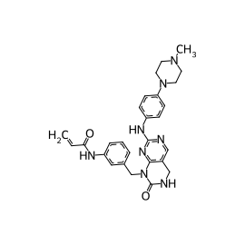 C=CC(=O)Nc1cccc(CN2C(=O)NCc3cnc(Nc4ccc(N5CCN(C)CC5)cc4)nc32)c1